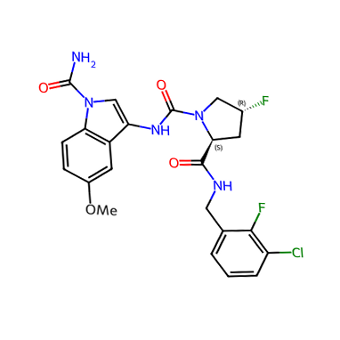 COc1ccc2c(c1)c(NC(=O)N1C[C@H](F)C[C@H]1C(=O)NCc1cccc(Cl)c1F)cn2C(N)=O